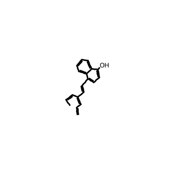 C=C/C=C(\C=C/C)/C=C/c1ccc(O)c2ccccc12